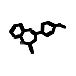 COc1ccc(C2=Nc3cccnc3NC(=O)C2)cc1